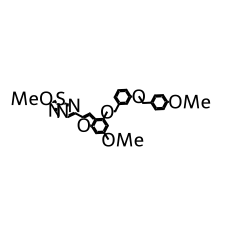 COc1ccc(COc2cccc(COc3cc(OC)cc4oc(-c5cn6nc(OC)sc6n5)cc34)c2)cc1